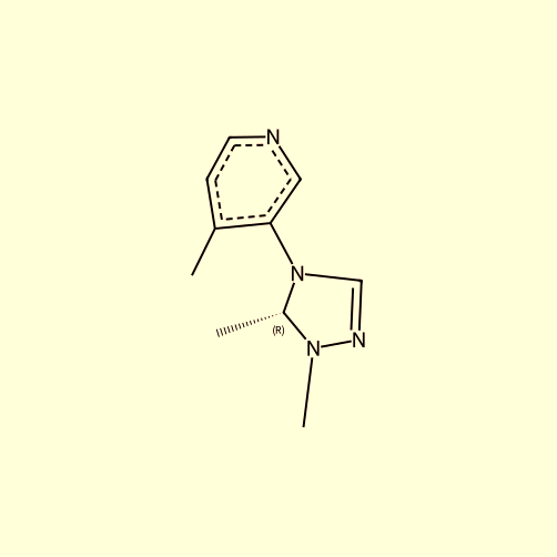 Cc1ccncc1N1C=NN(C)[C@@H]1C